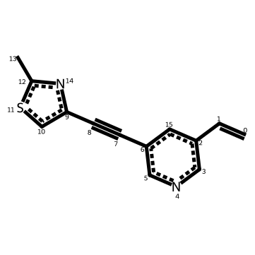 C=Cc1cncc(C#Cc2csc(C)n2)c1